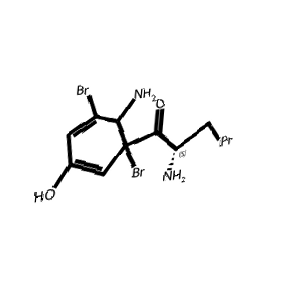 CC(C)C[C@H](N)C(=O)C1(Br)C=C(O)C=C(Br)C1N